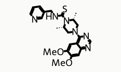 COc1cc2ncnc(N3C[C@@H](C)N(C(=S)NCc4cccnc4)[C@@H](C)C3)c2cc1OC